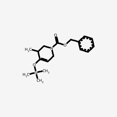 CC1CN(C(=O)OCc2ccccc2)CC=C1O[Si](C)(C)C